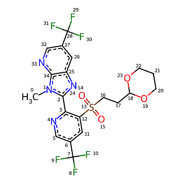 Cn1c(-c2ncc(C(F)(F)F)cc2S(=O)(=O)CCC2OCCCO2)nc2cc(C(F)(F)F)cnc21